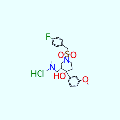 COc1cccc(C2(O)CCN(S(=O)(=O)Cc3ccc(F)cc3)CC2CN(C)C)c1.Cl